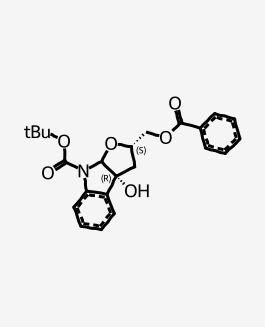 CC(C)(C)OC(=O)N1c2ccccc2[C@]2(O)C[C@@H](COC(=O)c3ccccc3)OC12